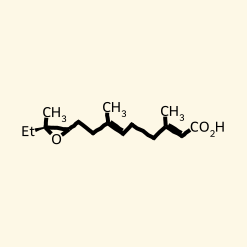 CC[C@]1(C)OC1CC/C(C)=C/CC/C(C)=C/C(=O)O